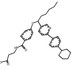 CCCCCC(Oc1ccc(C(=O)NCCC(=O)O)cc1)c1ccc(-c2ccc(C3CCCCC3)cc2)nc1